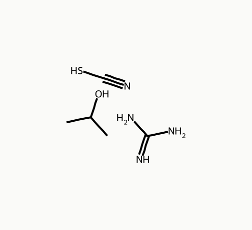 CC(C)O.N#CS.N=C(N)N